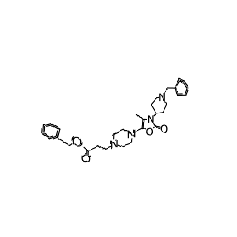 CC1C(N2CCN(CCC(=O)OCc3ccccc3)CC2)OC(=O)N1C1CCN(Cc2ccccc2)CC1